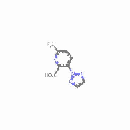 O=C(O)c1nc(C(F)(F)F)ccc1-n1nccn1